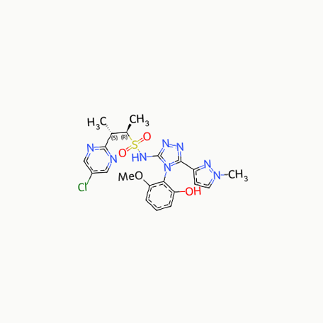 COc1cccc(O)c1-n1c(NS(=O)(=O)[C@H](C)[C@@H](C)c2ncc(Cl)cn2)nnc1-c1ccn(C)n1